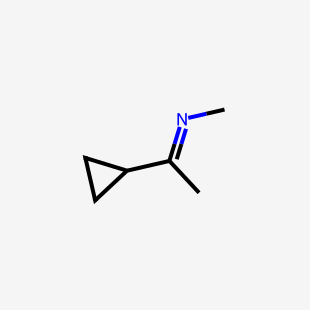 CN=C(C)C1CC1